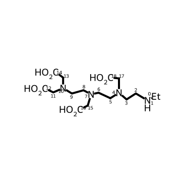 CCNCCN(CCN(CCN(CC(=O)O)CC(=O)O)CC(=O)O)CC(=O)O